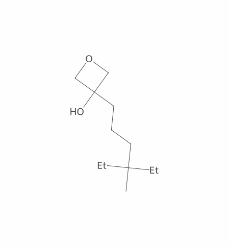 CCC(C)(CC)CCCC1(O)COC1